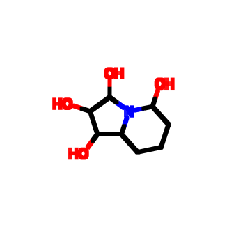 OC1C(O)C2CCCC(O)N2C1O